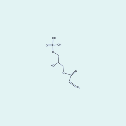 C=CC(=O)OCC(O)COP(=O)(O)O